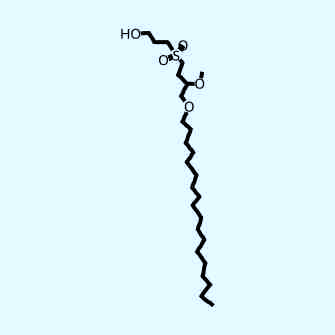 CCCCCCCCCCCCCCCCCCOCC(CCS(=O)(=O)CCCO)OC